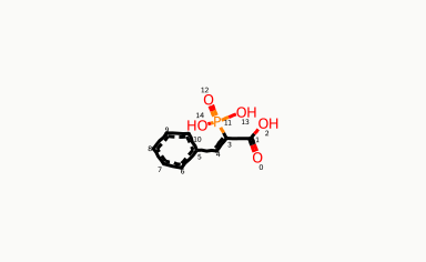 O=C(O)/C(=C/c1ccccc1)P(=O)(O)O